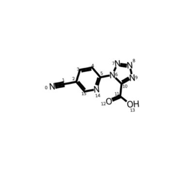 N#Cc1ccc(-n2nnnc2C(=O)O)nc1